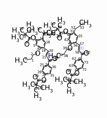 CCCOc1cc(OC(=O)C(C)(C)C)c(C(C)C)cc1/C=C/C(=O)c1ccc(OC(=O)C(C)(C)C)cc1.CCCOc1cc(OC(=O)C(C)(C)C)c(CCC)cc1/C=C/C(=O)c1ccc(OC(=O)C(C)(C)C)cc1